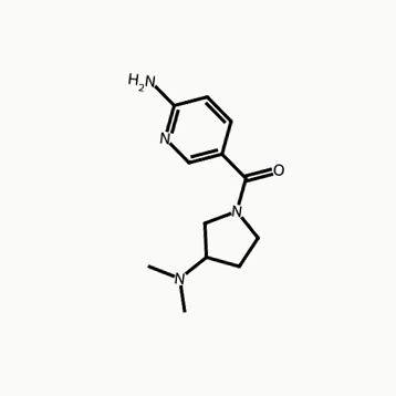 CN(C)C1CCN(C(=O)c2ccc(N)nc2)C1